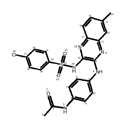 CC(=O)Nc1ccc(Nc2nc3cc(C)ccc3nc2NS(=O)(=O)c2ccc(Cl)cc2)cc1